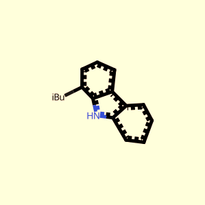 CCC(C)c1cccc2c1[nH]c1ccccc12